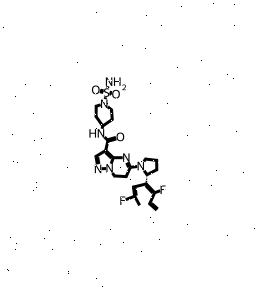 C=C/C(F)=C(\C=C(/C)F)[C@H]1CCCN1C1=Nc2c(C(=O)NC3CCN(S(N)(=O)=O)CC3)cnn2CC1